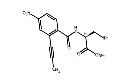 CC#Cc1cc([N+](=O)[O-])ccc1C(=O)N[C@@H](CC(C)C)C(=O)OC